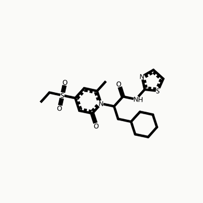 CCS(=O)(=O)c1cc(C)n(C(CC2CCCCC2)C(=O)Nc2nccs2)c(=O)c1